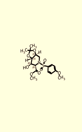 COC(=O)[C@H]1[C@@H](O)[C@@H]2OC(C)(C)O[C@H]2CN1S(=O)(=O)c1ccc(OC)cc1